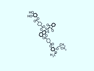 COc1ccc(OC(=O)C2CCC(C(=O)Oc3c4c(c(OC(=O)C5CCC(C(=O)Oc6ccc(O)c(O)c6)CC5)c5ccccc35)SC(=C3C(=O)c5ccccc5C3=O)S4)CC2)cc1OCC(C)C